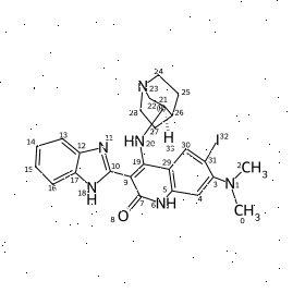 CN(C)c1cc2[nH]c(=O)c(-c3nc4ccccc4[nH]3)c(N[C@H]3CN4CCC3CC4)c2cc1I